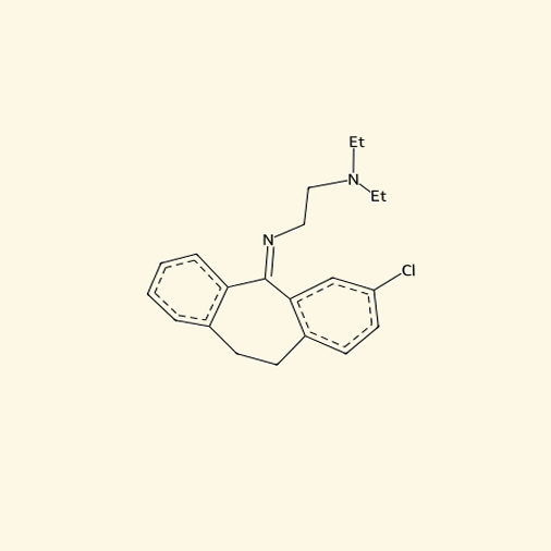 CCN(CC)CCN=C1c2ccccc2CCc2ccc(Cl)cc21